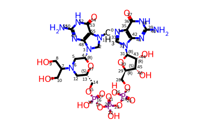 CN1CN([C@H]2CN(C(CO)CO)C[C@@H](COP(=O)(O)OP(=O)(O)OP(=O)(O)OC[C@H]3O[C@@H](n4cnc5c(=O)[nH]c(N)nc54)[C@H](O)[C@@H]3O)O2)c2nc(N)[nH]c(=O)c21